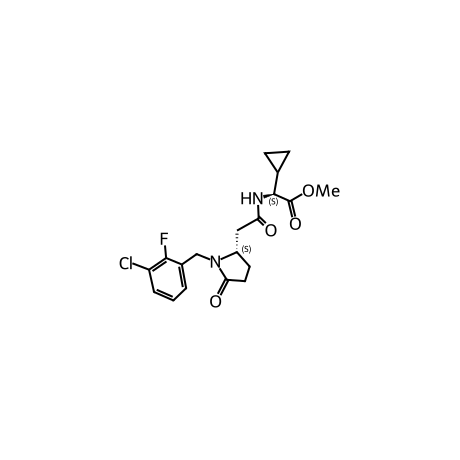 COC(=O)[C@@H](NC(=O)C[C@@H]1CCC(=O)N1Cc1cccc(Cl)c1F)C1CC1